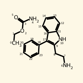 CCOC(N)=O.NCCc1[nH]c2ccccc2c1-c1ccccc1